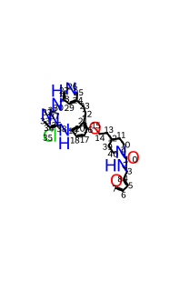 O=C(NCc1ccco1)N1CCC(CCOc2ccc3cc2CCc2cncc(c2)Nc2ncc(Cl)c(n2)N3)CC1